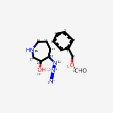 O=COCc1ccccc1.[N-]=[N+]=NC1CCCNCC1O